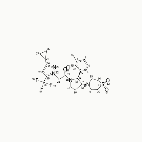 Cc1cccc([C@H]2[C@@H](N3CCS(=O)(=O)CC3)CCN2C(=O)Cn2nc(C3CC3)cc2C(F)(F)F)c1Cl